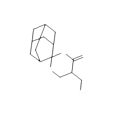 O=C(O)CC1COC2(OC1=O)C1CC3CC(C1)CC2C3